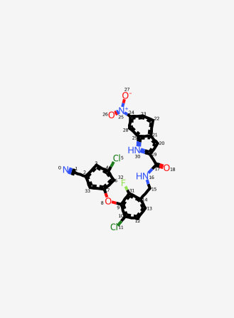 N#Cc1cc(Cl)cc(Oc2c(Cl)ccc(CNC(=O)c3cc4ccc([N+](=O)[O-])cc4[nH]3)c2F)c1